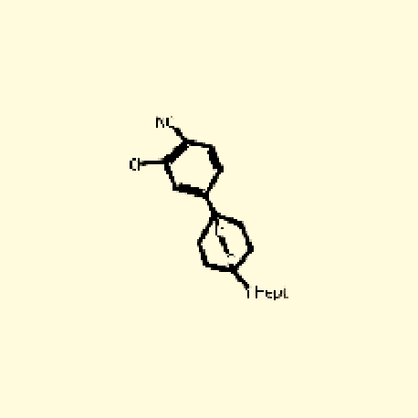 CCCCCCCC12CCC(c3ccc(C#N)c(Cl)c3)(CC1)CC2